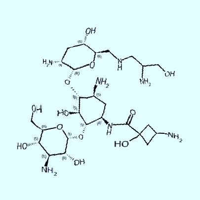 NC(CO)CNC[C@H]1O[C@H](O[C@H]2[C@H](O)[C@@H](O[C@H]3O[C@H](CO)[C@@H](O)[C@H](N)[C@H]3O)[C@H](NC(=O)C3(O)CC(N)C3)C[C@@H]2N)[C@H](N)C[C@@H]1O